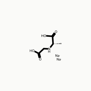 C[C@H](NCC(=O)O)C(=O)O.[Na].[Na]